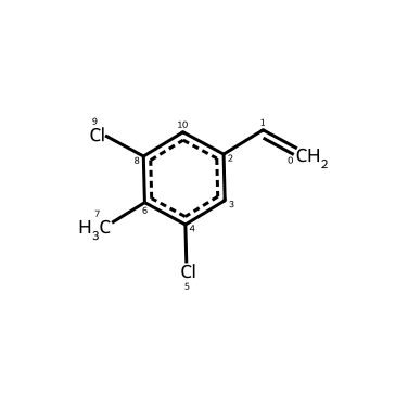 C=Cc1cc(Cl)c(C)c(Cl)c1